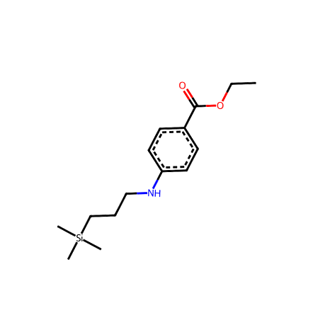 CCOC(=O)c1ccc(NCCC[Si](C)(C)C)cc1